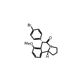 COc1cccc2c1[C@H](c1ccc(Br)cc1)C(=O)N1CCC[C@H]21